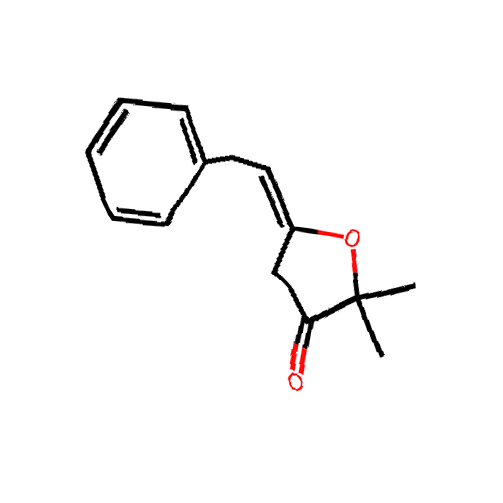 CC1(C)OC(=Cc2ccccc2)CC1=O